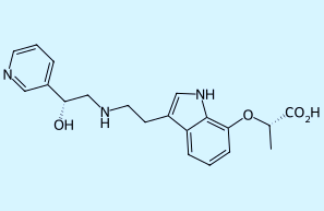 C[C@H](Oc1cccc2c(CCNC[C@H](O)c3cccnc3)c[nH]c12)C(=O)O